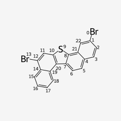 Brc1ccc2ccc3c(sc4cc(Br)c5ccccc5c43)c2c1